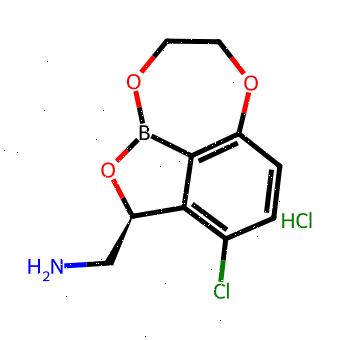 Cl.NC[C@H]1OB2OCCOc3ccc(Cl)c1c32